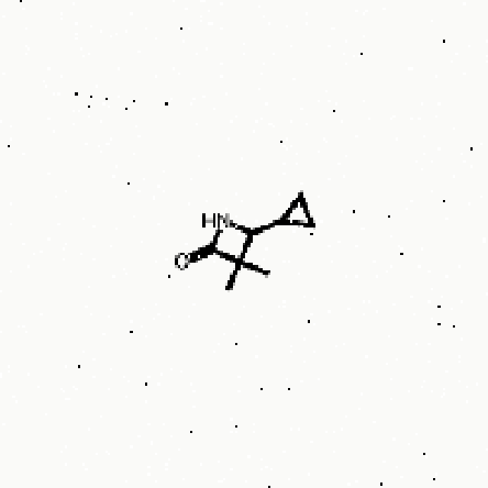 CC1(C)C(=O)NC1C1CC1